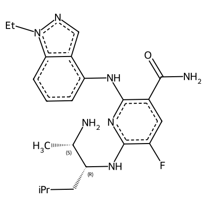 CCn1ncc2c(Nc3nc(N[C@H](CC(C)C)[C@H](C)N)c(F)cc3C(N)=O)cccc21